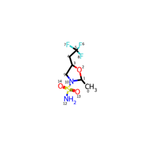 CC1OC(CC(F)(F)F)CN1S(N)(=O)=O